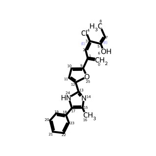 C=C(/C=C(Cl)\C(O)=C/C)c1ccc(-c2nc(C)c(-c3ccccc3)[nH]2)o1